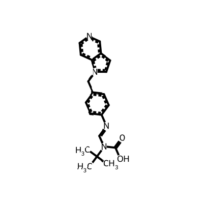 CC(C)(C)N(C=Nc1ccc(Cn2ccc3cnccc32)cc1)C(=O)O